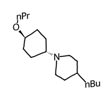 CCCCC1CCN([C@H]2CC[C@H](OCCC)CC2)CC1